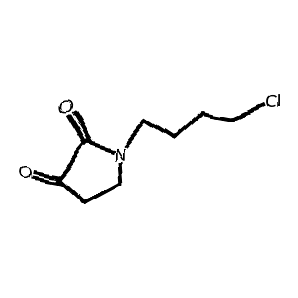 O=C1CCN(CCCCCl)C1=O